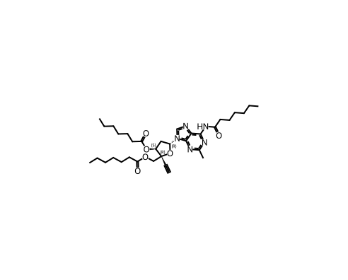 C#C[C@]1(COC(=O)CCCCCC)O[C@@H](n2cnc3c(NC(=O)CCCCCC)nc(C)nc32)C[C@@H]1OC(=O)CCCCCC